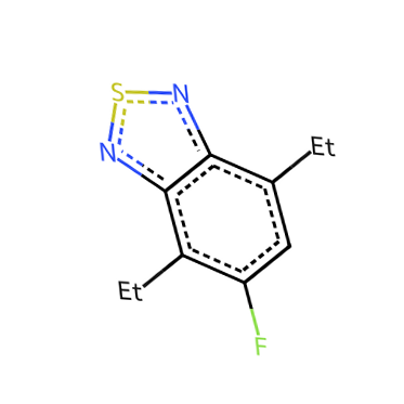 CCc1cc(F)c(CC)c2nsnc12